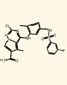 CCc1nc(Nc2cc(NS(=O)(=O)c3cccc(F)c3)ccc2C)c2c(C)c(C(N)=O)cn2n1